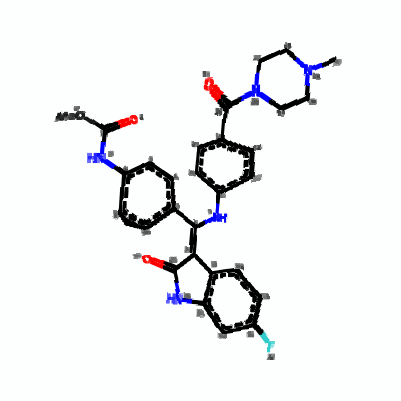 COC(=O)Nc1ccc(C(Nc2ccc(C(=O)N3CCN(C)CC3)cc2)=C2C(=O)Nc3cc(F)ccc32)cc1